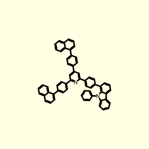 c1ccc(-n2c3ccccc3c3cccc(-c4ccc(-c5cc(-c6ccc(-c7cccc8ccccc78)cc6)cc(-c6ccc(-c7cccc8ccccc78)cc6)n5)cc4)c32)cc1